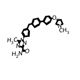 Cc1nc(C(N)=O)nn1-c1ccc(Cc2ccc(-c3ccc(O[C@@H]4CCN(C)C4)cc3)cc2)cc1